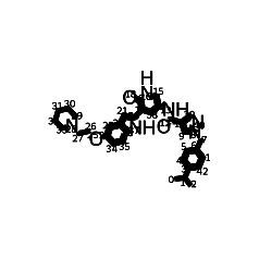 CC(C)c1ccc(Cn2cc(C(=O)Nc3c[nH]c(=O)c(-c4cc5cc(OCCN6CCCCC6)ccc5[nH]4)c3)cn2)cc1